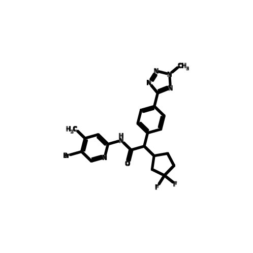 Cc1cc(NC(=O)C(c2ccc(-c3nnn(C)n3)cc2)C2CCC(F)(F)C2)ncc1Br